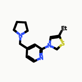 CCC1=CN(c2cc(CN3CCCC3)ccn2)CS1